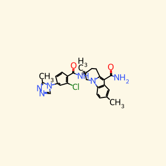 Cc1ccc2c(c1)c(C(N)=O)c1n2C[C@](C)(NC(=O)c2ccc(-n3cnnc3C)cc2Cl)CC1